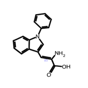 N/C(=C\c1cn(-c2ccccc2)c2ccccc12)C(=O)O